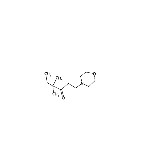 CCC(C)(C)C(=O)CCN1CCOCC1